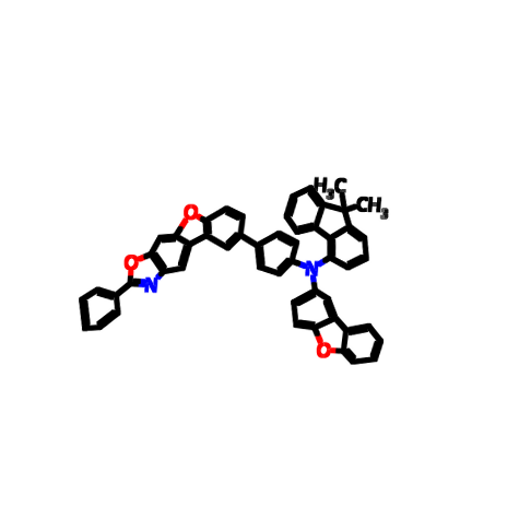 CC1(C)c2ccccc2-c2c(N(c3ccc(-c4ccc5oc6cc7oc(-c8ccccc8)nc7cc6c5c4)cc3)c3ccc4oc5ccccc5c4c3)cccc21